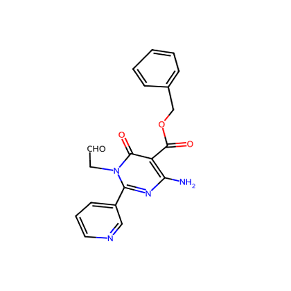 Nc1nc(-c2cccnc2)n(CC=O)c(=O)c1C(=O)OCc1ccccc1